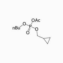 CCCCOP(=O)(OCC1CC1)OC(C)=O